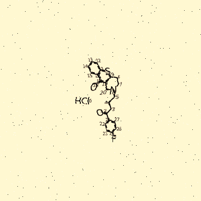 Cl.O=C(CCCN1CCc2sc3ccccc3c(=O)c2C1)c1ccc(F)cc1